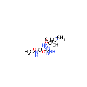 C=CC(=O)Nc1cccc(Oc2nc(Nc3cc(C)c(C4CCN(C)CC4)cc3OC)nc3[nH]cnc23)c1